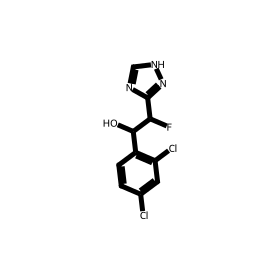 OC(c1ccc(Cl)cc1Cl)C(F)c1nc[nH]n1